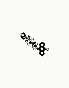 O=C(NS(=O)(=O)N1CC2CC1CO2)c1coc(Nc2c3c(c(Cl)c4c2CCC4)CCC3)n1